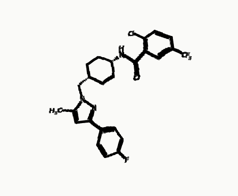 Cc1cc(-c2ccc(F)cc2)nn1C[C@H]1CC[C@@H](NC(=O)c2cc(C(F)(F)F)ccc2Cl)CC1